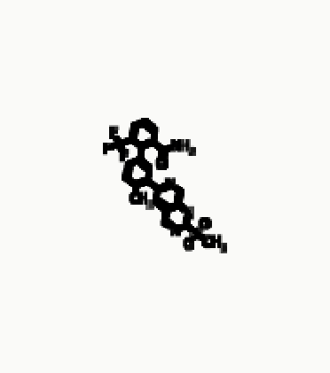 Cc1ccc(-c2c(C(N)=O)cccc2C(F)(F)F)cc1-c1cc2cnc(S(C)(=O)=O)nc2cn1